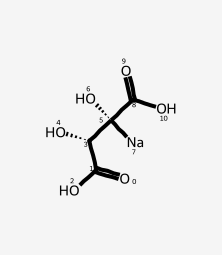 O=C(O)[C@H](O)[C@](O)([Na])C(=O)O